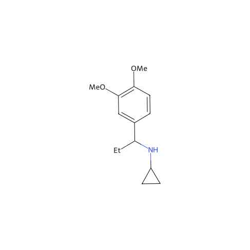 CCC(NC1CC1)c1ccc(OC)c(OC)c1